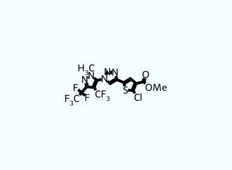 COC(=O)c1cc(-c2cn(-c3c(C(F)(F)F)c(C(F)(F)C(F)(F)F)nn3C)nn2)sc1Cl